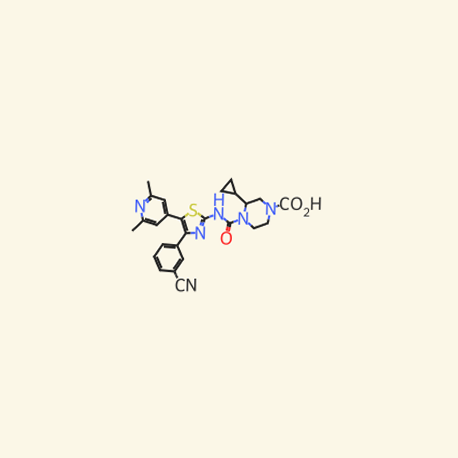 Cc1cc(-c2sc(NC(=O)N3CCN(C(=O)O)CC3C3CC3)nc2-c2cccc(C#N)c2)cc(C)n1